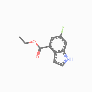 CCOC(=O)c1cc(F)cc2[nH]ccc12